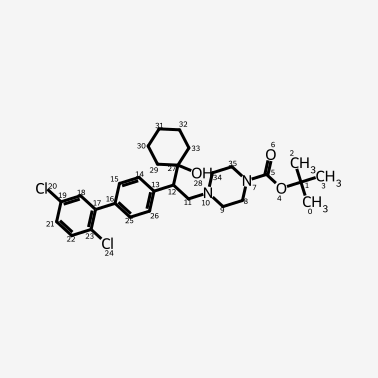 CC(C)(C)OC(=O)N1CCN(CC(c2ccc(-c3cc(Cl)ccc3Cl)cc2)C2(O)CCCCC2)CC1